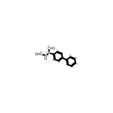 O=CNN(C=O)c1ccc(-c2ccccc2)cc1